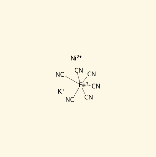 N#[C][Fe-3]([C]#N)([C]#N)([C]#N)([C]#N)[C]#N.[K+].[Ni+2]